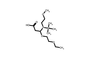 CCOCCOC(CC(=O)O)P(CCOC)[N+](C)(C)C